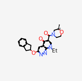 CCn1cc(C(=O)N2CCO[C@H](C)C2)c(=O)c2cc(OC3Cc4ccccc4C3)nnc21